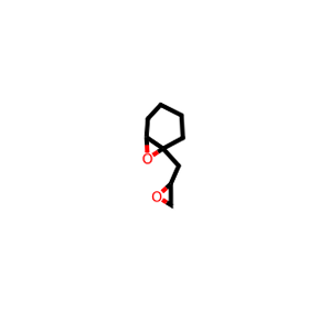 C1CCC2(CC3CO3)OC2C1